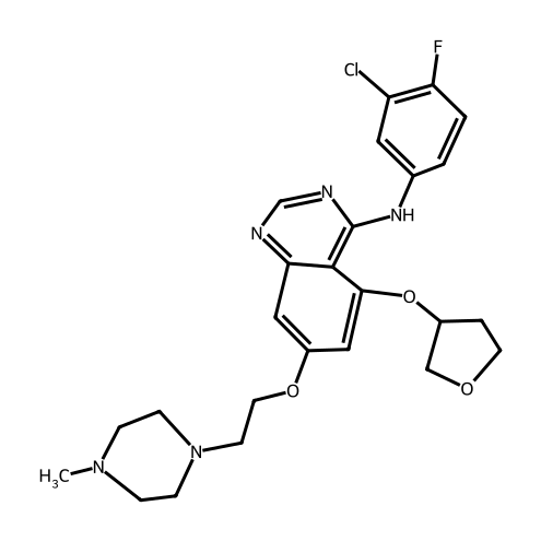 CN1CCN(CCOc2cc(OC3CCOC3)c3c(Nc4ccc(F)c(Cl)c4)ncnc3c2)CC1